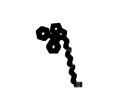 C=C(c1ccccc1)C12CCCC1CC(CCOCCCOCCCO)=C2c1ccccc1